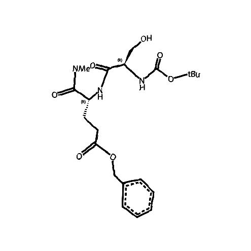 CNC(=O)[C@@H](CCC(=O)OCc1ccccc1)NC(=O)[C@@H](CO)NC(=O)OC(C)(C)C